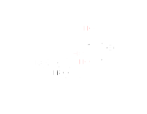 C=C(C)C(=O)O.C=C(C)C(=O)O.CCC(CO)(CO)CO